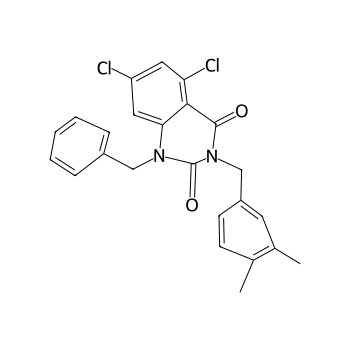 Cc1ccc(Cn2c(=O)c3c(Cl)cc(Cl)cc3n(Cc3ccccc3)c2=O)cc1C